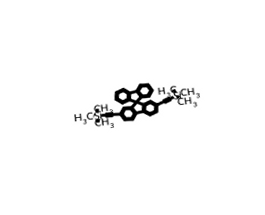 C[Si](C)(C)C#Cc1ccc2c(c1)C1(c3ccccc3-c3ccccc31)c1cc(C#C[Si](C)(C)C)ccc1-2